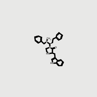 CN(Cc1ccccc1)[C@@H](CCc1ccccc1)N1CCNC(Cc2c[nH]c3ccccc23)C1=O